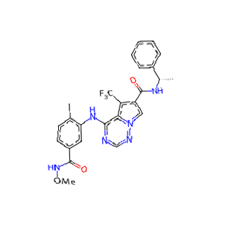 CONC(=O)c1ccc(C)c(Nc2ncnn3cc(C(=O)N[C@@H](C)c4ccccc4)c(C(F)(F)F)c23)c1